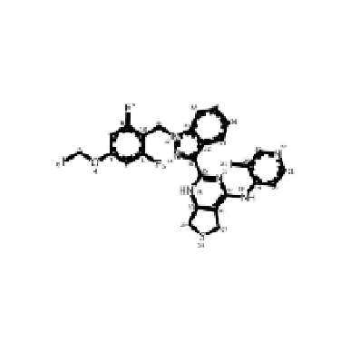 Fc1cc(OCI)cc(F)c1Cn1nc(C2=NC(Nc3ccncc3I)=C3CSCC3N2)c2ccccc21